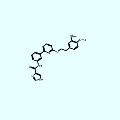 COc1ccc(CCOc2cccc(-c3cccc(NC(=O)c4c[nH]cn4)c3)n2)cc1OC